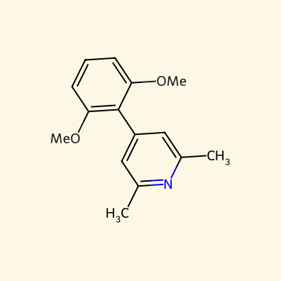 COc1cccc(OC)c1-c1cc(C)nc(C)c1